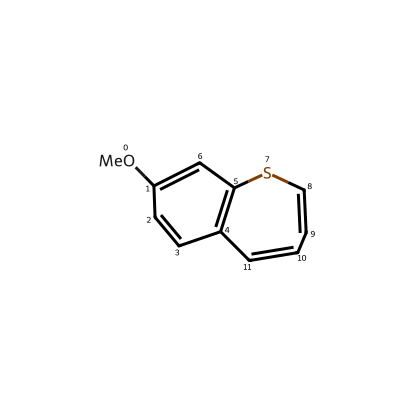 COc1ccc2c(c1)SC=CC=C2